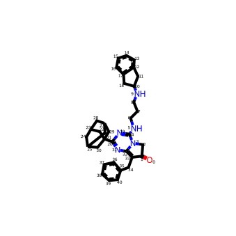 O=C1CN2C(NCCCNC3Cc4ccccc4C3)=NC(C34CC5CC(CC(C5)C3)C4)=NC2=C1Cc1ccccc1